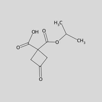 CC(C)OC(=O)C1(C(=O)O)CC(=O)C1